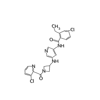 CCc1cc(Cl)ccc1C(=O)Nc1cncc(NC2CN(C(=O)c3ncccc3Cl)C2)c1